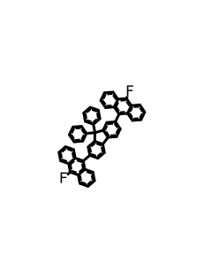 Fc1c2ccccc2c(-c2ccc3c(c2)C(c2ccccc2)(c2ccccc2)c2cc(-c4c5ccccc5c(F)c5ccccc45)ccc2-3)c2ccccc12